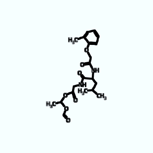 Cc1ccccc1OCC(=O)NC(CC(C)C)C(=O)NCC(=O)OC(C)OC=O